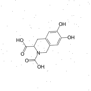 O=C(O)C1Cc2cc(O)c(O)cc2CN1C(=O)O